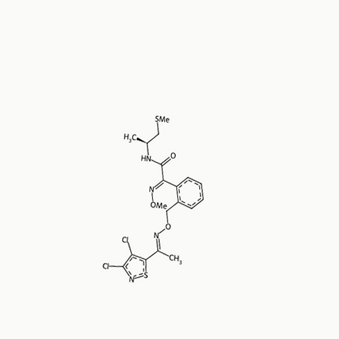 CO/N=C(/C(=O)N[C@@H](C)CSC)c1ccccc1CO/N=C(\C)c1snc(Cl)c1Cl